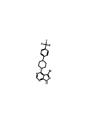 FC(F)(F)c1ccc(N2CCN(c3ncnc4[nH]nc(Br)c34)CC2)cc1